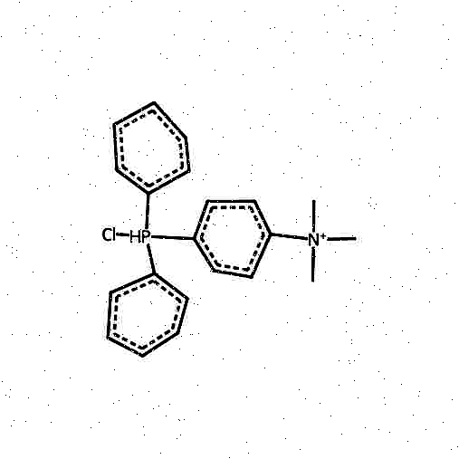 C[N+](C)(C)c1ccc([PH](Cl)(c2ccccc2)c2ccccc2)cc1